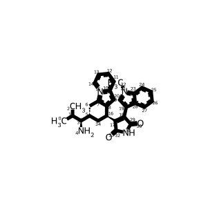 CC(C)[C@H](N)[C@@H]1Cc2c(cc3ccccn23)[C@@H](C2=C(c3cn(C)c4ccccc34)C(=O)NC2=O)C1